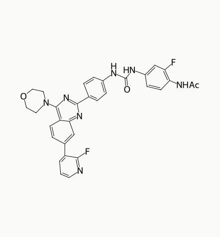 CC(=O)Nc1ccc(NC(=O)Nc2ccc(-c3nc(N4CCOCC4)c4ccc(-c5cccnc5F)cc4n3)cc2)cc1F